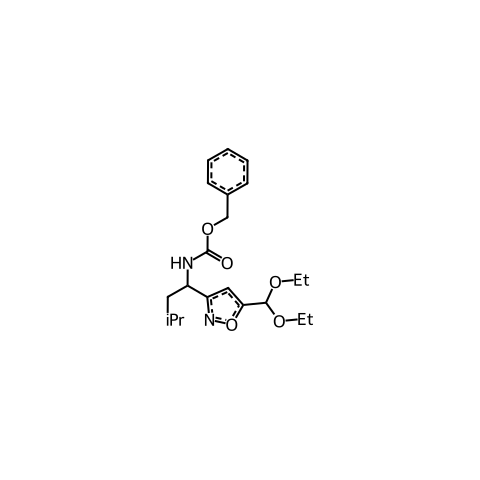 CCOC(OCC)c1cc(C(CC(C)C)NC(=O)OCc2ccccc2)no1